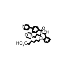 [2H]C(c1ccccc1OCCCCCC(=O)O)N(CCCN1CCOCC1)C(=O)c1ccc(-c2ccncc2)cc1